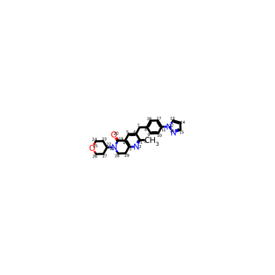 Cc1nc2c(cc1Cc1ccc(-n3cccn3)cc1)C(=O)N(C1CCOCC1)CC2